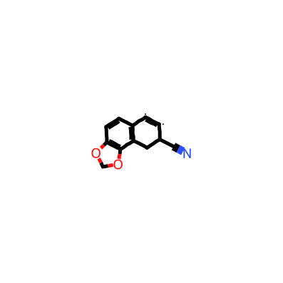 N#CC1[C]=[C]c2ccc3c(c2C1)OCO3